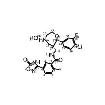 Cc1ccc(-c2noc(=O)[nH]2)cc1C(=O)NC[C@@H]1CNCCO[C@H]1c1ccc(Cl)c(F)c1.Cl